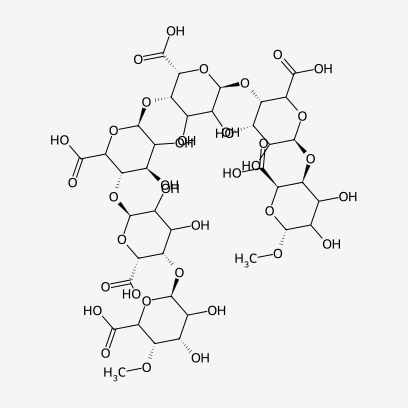 CO[C@@H]1O[C@@H](C(=O)O)[C@@H](O[C@@H]2OC(C(=O)O)[C@@H](O[C@@H]3O[C@@H](C(=O)O)[C@@H](O[C@@H]4OC(C(=O)O)[C@@H](O[C@@H]5O[C@@H](C(=O)O)[C@@H](O[C@@H]6OC(C(=O)O)[C@@H](OC)[C@@H](O)C6O)C(O)C5O)[C@H](O)C4O)C(O)C3O)[C@@H](O)C2O)C(O)C1O